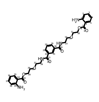 Nc1ccccc1C(=O)OCCOCCNC(=O)c1cccc(C(=O)NCCOCCOC(=O)c2ccccc2N)c1